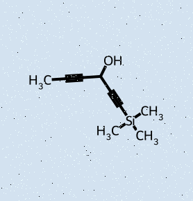 CC#CC(O)C#C[Si](C)(C)C